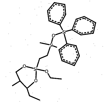 CCO[Si]1(CC[Si](C)(C)O[Si](c2ccccc2)(c2ccccc2)c2ccccc2)OCC(C)C(CC)O1